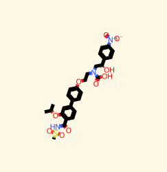 CC(C)Oc1cc(-c2ccc(OCCN(C[C@@H](O)c3ccc([N+](=O)[O-])cc3)C(=O)O)cc2)ccc1C(=O)NS(C)(=O)=O